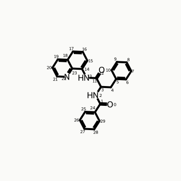 O=C(NC(Cc1ccccc1)C(=O)Nc1cccc2cccnc12)c1ccccc1